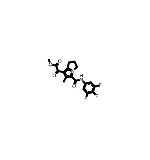 COC(=O)C(=O)c1c(C)c(C(=O)Nc2cc(F)c(F)c(F)c2)n2c1CCC2